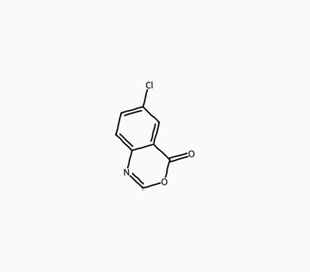 O=c1o[c]nc2ccc(Cl)cc12